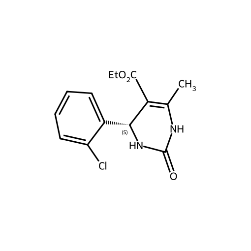 CCOC(=O)C1=C(C)NC(=O)N[C@@H]1c1ccccc1Cl